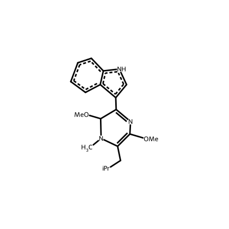 COC1=C(CC(C)C)N(C)C(OC)C(c2c[nH]c3ccccc23)=N1